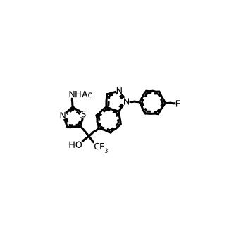 CC(=O)Nc1ncc(C(O)(c2ccc3c(cnn3-c3ccc(F)cc3)c2)C(F)(F)F)s1